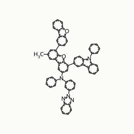 Cc1cc(-c2ccc3oc4ccccc4c3c2)c2oc3c(-c4ccc5c(c4)c4ccccc4n5-c4ccccc4)cc(N(c4ccccc4)c4cccc(-n5nc6ccccc6n5)c4)cc3c2c1